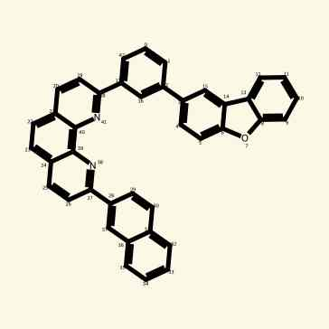 c1cc(-c2ccc3oc4ccccc4c3c2)cc(-c2ccc3ccc4ccc(-c5ccc6ccccc6c5)nc4c3n2)c1